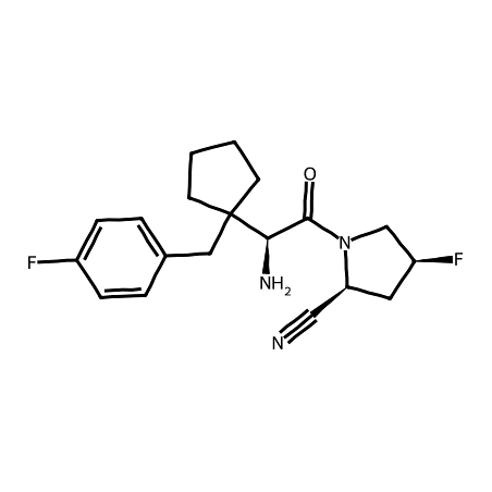 N#C[C@@H]1C[C@H](F)CN1C(=O)[C@@H](N)C1(Cc2ccc(F)cc2)CCCC1